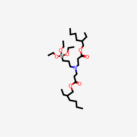 CCCCC(CC)COC(=O)CCN(CCC[Si](OCC)(OCC)OCC)CCC(=O)OCC(CC)CCCC